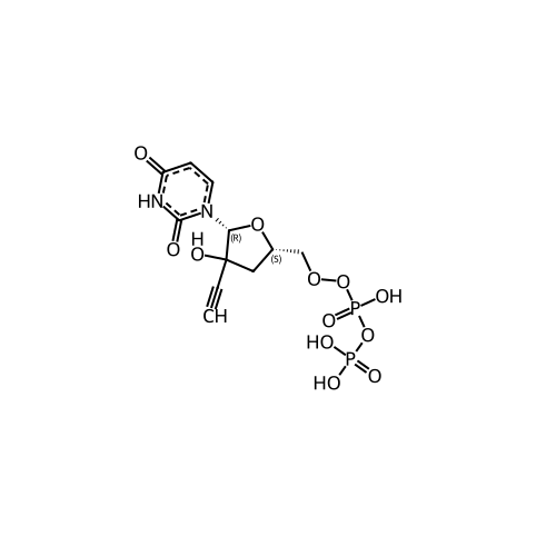 C#CC1(O)C[C@@H](COOP(=O)(O)OP(=O)(O)O)O[C@H]1n1ccc(=O)[nH]c1=O